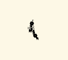 CC(COc1ccc(C#N)cc1)N[C@H](C(=O)NC(=O)Oc1ccc(F)cc1)C(C)C